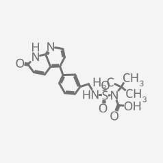 CC(C)(C)N(C(=O)O)S(=O)(=O)NCc1cccc(-c2ccnc3[nH]c(=O)ccc23)c1